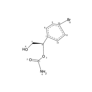 NC(=O)O[C@@H](CO)c1ccc(Br)cc1